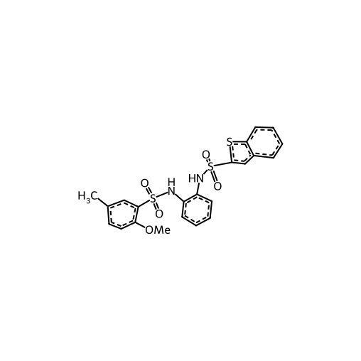 COc1ccc(C)cc1S(=O)(=O)Nc1ccccc1NS(=O)(=O)c1cc2ccccc2s1